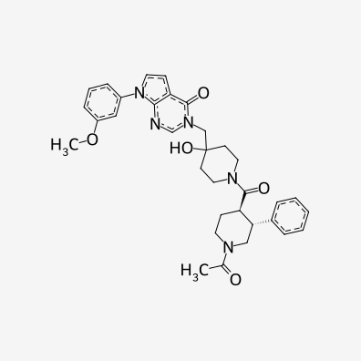 COc1cccc(-n2ccc3c(=O)n(CC4(O)CCN(C(=O)[C@@H]5CCN(C(C)=O)C[C@H]5c5ccccc5)CC4)cnc32)c1